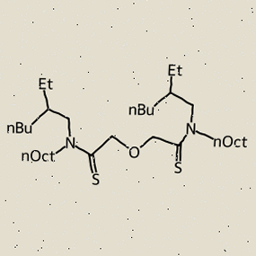 CCCCCCCCN(CC(CC)CCCC)C(=S)COCC(=S)N(CCCCCCCC)CC(CC)CCCC